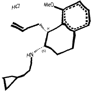 C=CC[C@@H]1c2c(cccc2OC)CC[C@@H]1NCC1CC1.Cl